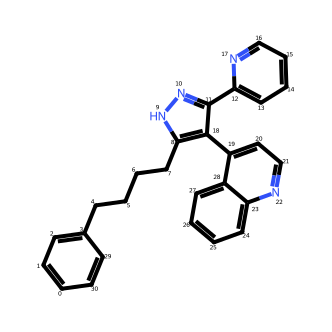 c1ccc(CCCCc2[nH]nc(-c3ccccn3)c2-c2ccnc3ccccc23)cc1